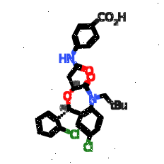 CC(C)(C)CN1C(=O)[C@H](CC(=O)Nc2ccc(C(=O)O)cc2)O[C@@H](c2ccccc2Cl)c2cc(Cl)ccc21